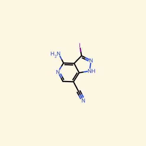 N#Cc1cnc(N)c2c(I)n[nH]c12